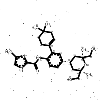 Cc1c[nH]c(C(=O)Nc2ccc([C@H]3C[C@](C)(CO)O[C@](C)(CO)C3)cc2C2=CCC(C)(C)CC2)n1